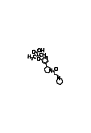 CC(C)(Oc1cccc(C2CCCN(C(=O)CCN3CCCCC3)C2)c1)C(=O)O